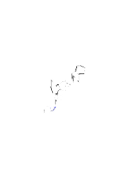 CO/C=C\COc1ccnc(C[S+]([O-])C2=Nc3ccccc3C2)c1C